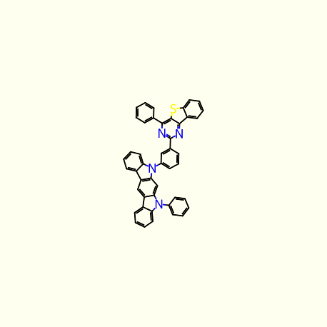 c1ccc(-c2nc(-c3cccc(-n4c5ccccc5c5cc6c7ccccc7n(-c7ccccc7)c6cc54)c3)nc3c2sc2ccccc23)cc1